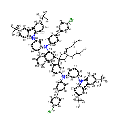 CCCCCCC1(CCCCCC)c2cc(N(c3ccc(-c4ccc(Br)cc4)cc3)c3cccc(-n4c5ccc(C(C)(C)C)cc5c5cc(C(C)(C)C)ccc54)c3)ccc2-c2c1cc(N(c1ccc(-c3ccc(Br)cc3)cc1)c1cccc(-n3c4ccc(C(C)(C)C)cc4c4cc(C(C)(C)C)ccc43)c1)c1ccccc21